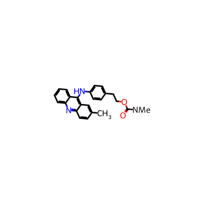 CNC(=O)OCCc1ccc(Nc2c3ccccc3nc3ccc(C)cc23)cc1